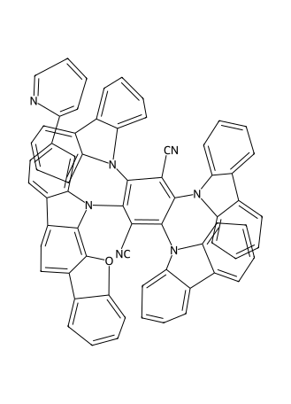 N#Cc1c(-n2c3ccccc3c3ccccc32)c(-n2c3ccccc3c3ccccc32)c(C#N)c(-n2c3cc(-c4ccccn4)ccc3c3ccc4c5ccccc5oc4c32)c1-n1c2ccccc2c2ccccc21